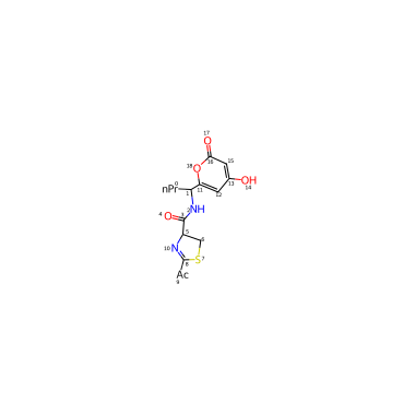 CCCC(NC(=O)C1CSC(C(C)=O)=N1)c1cc(O)cc(=O)o1